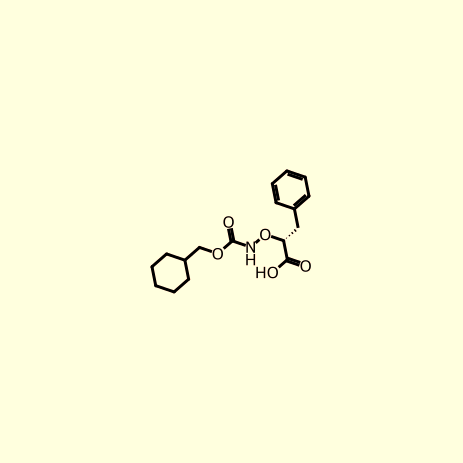 O=C(NO[C@H](Cc1ccccc1)C(=O)O)OCC1CCCCC1